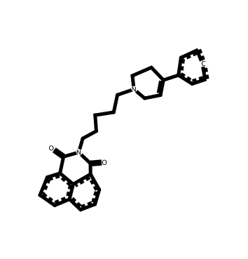 O=C1c2cccc3cccc(c23)C(=O)N1CCCCCN1CC=C(c2ccccc2)CC1